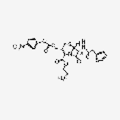 C=CCOC(=O)C1=C(COC(=O)Oc2ccc([N+](=O)[O-])cc2)CS[C@@H]2[C@H](NC(=O)Cc3cccs3)C(=O)N12